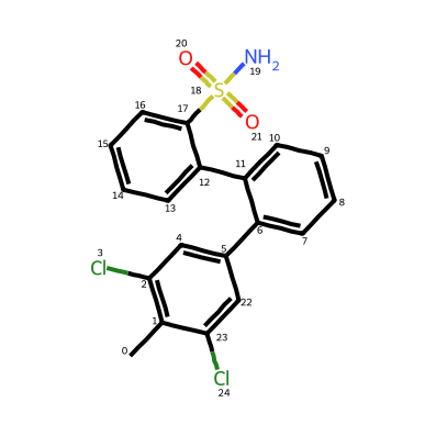 Cc1c(Cl)cc(-c2ccccc2-c2ccccc2S(N)(=O)=O)cc1Cl